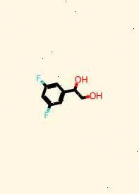 OCC(O)c1cc(F)cc(F)c1